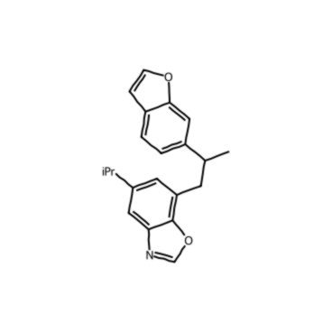 CC(C)c1cc(CC(C)c2ccc3ccoc3c2)c2ocnc2c1